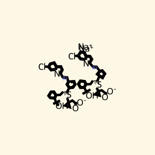 CC(C)(O)c1ccccc1CC[C@@H](SCC1(CC(=O)[O-])CC1)c1cccc(/C=C/c2ccc3ccc(Cl)cc3n2)c1.CC(C)(O)c1ccccc1CC[C@@H](SCC1(CC(=O)[O-])CC1)c1cccc(/C=C/c2ccc3ccc(Cl)cc3n2)c1.[Na+].[Na+]